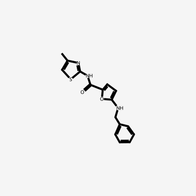 Cc1csc(NC(=O)c2ccc(NCc3ccccc3)o2)n1